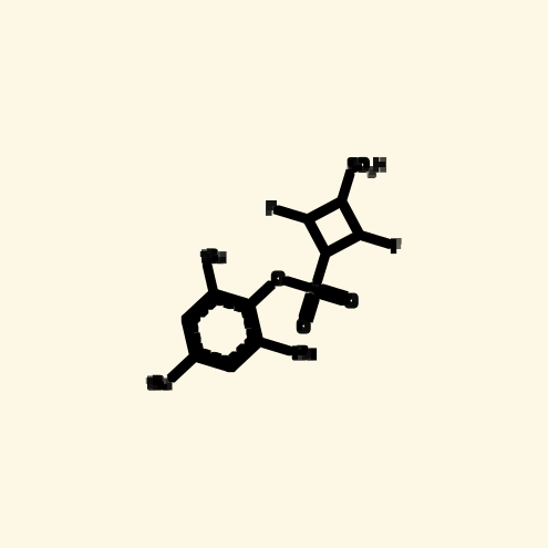 CC(C)(C)c1cc(C(C)(C)C)c(OS(=O)(=O)C2C(F)C(S(=O)(=O)O)C2F)c(C(C)(C)C)c1